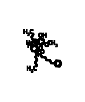 C=CCN1CC[C@]23c4c5c(O)cc(OC)c4O[C@H]2[C@H](N(CCCCC)C(=O)CCCCCc2ccccc2)CC[C@H]3[C@H]1C5